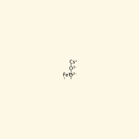 [Cs+].[Fe+3].[O-2].[O-2]